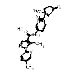 Cc1c(C(=O)Nc2ccc(C3(C#N)CCC(=O)CC3)nc2)cnn1-c1ccc(C(F)(F)F)cn1.Cl